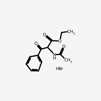 Br.CCOC(=O)C(NC(C)=O)C(=O)c1ccccc1